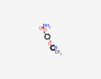 NC(=O)OC[C@H]1CC[C@H](COc2ccc(C(F)(F)F)nc2)CC1